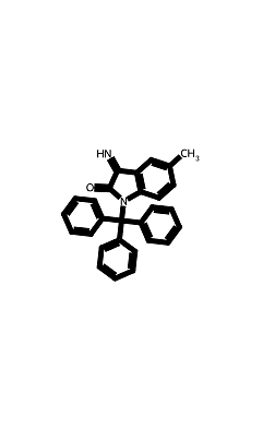 Cc1ccc2c(c1)C(=N)C(=O)N2C(c1ccccc1)(c1ccccc1)c1ccccc1